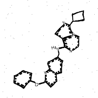 c1ccc(Oc2ccc3ccc([AsH]c4nccn5c(C6CCC6)ncc45)cc3n2)cc1